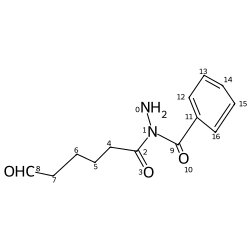 NN(C(=O)CCCCC=O)C(=O)c1ccccc1